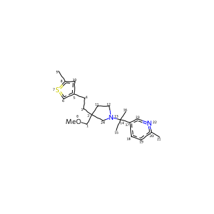 COCC1(CCc2csc(C)c2)CCN(C(C)(C)c2ccc(C)nc2)C1